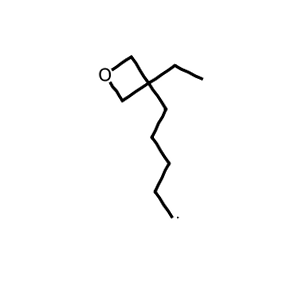 [CH2]CCCCC1(CC)COC1